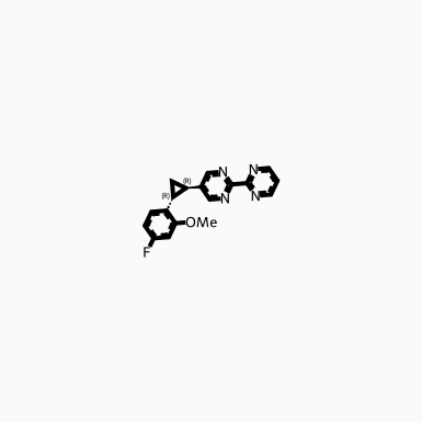 COc1cc(F)ccc1[C@@H]1C[C@H]1c1cnc(-c2ncccn2)nc1